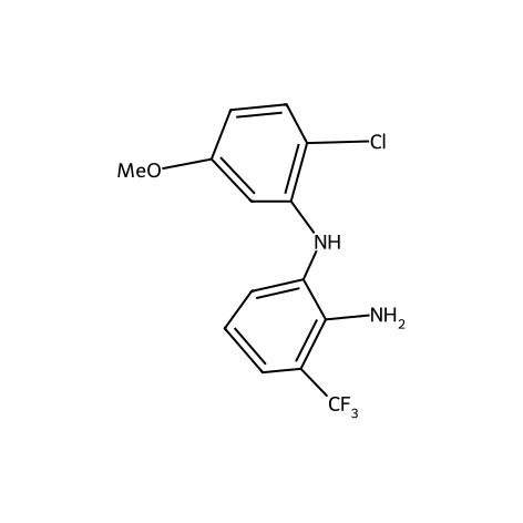 COc1ccc(Cl)c(Nc2cccc(C(F)(F)F)c2N)c1